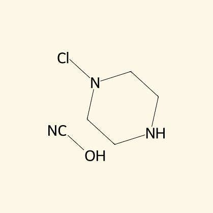 ClN1CCNCC1.N#CO